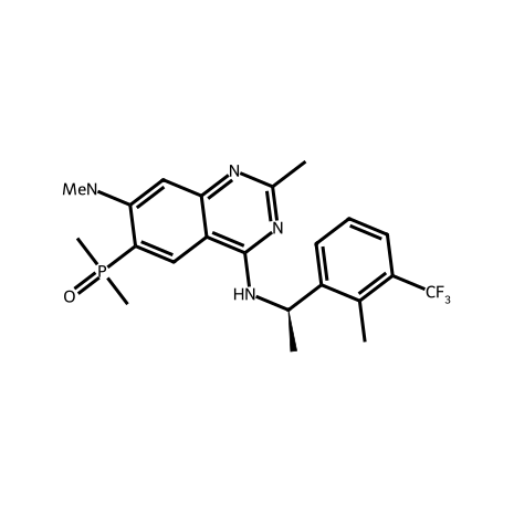 CNc1cc2nc(C)nc(N[C@H](C)c3cccc(C(F)(F)F)c3C)c2cc1P(C)(C)=O